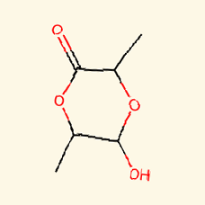 CC1OC(O)C(C)OC1=O